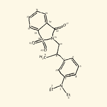 CCN(CC)c1cccc(C(C)CN2C(=O)c3ccccc3S2(=O)=O)c1